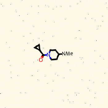 CNC1CCN(C(=O)C2CC2)CC1